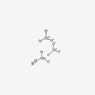 [Al+3].[O-][Cl+2]([O-])[O-].[O-][Cl+2]([O-])[O-].[O-][Cl+2]([O-])[O-]